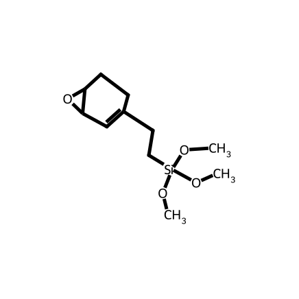 CO[Si](CCC1=CC2OC2CC1)(OC)OC